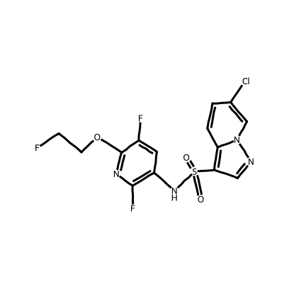 O=S(=O)(Nc1cc(F)c(OCCF)nc1F)c1cnn2cc(Cl)ccc12